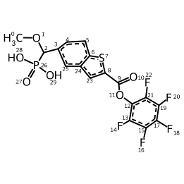 COC(c1ccc2sc(C(=O)Oc3c(F)c(F)c(F)c(F)c3F)cc2c1)P(=O)(O)O